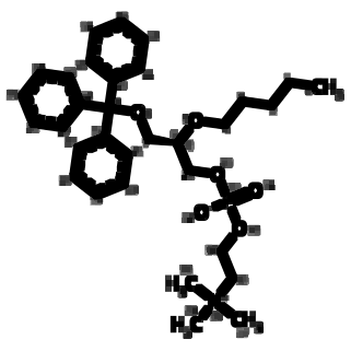 CCCCCO[C@H](COC(c1ccccc1)(c1ccccc1)c1ccccc1)COP(=O)([O-])OCC[N+](C)(C)C